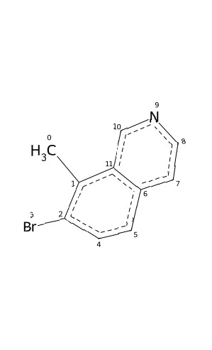 Cc1c(Br)ccc2ccncc12